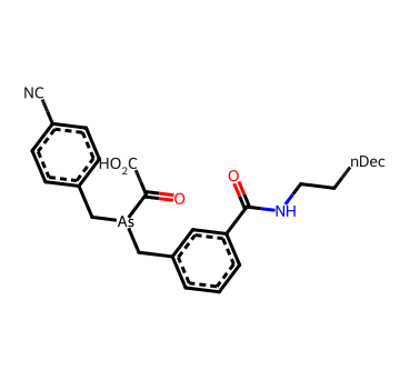 CCCCCCCCCCCCNC(=O)c1cccc(C[As](Cc2ccc(C#N)cc2)C(=O)C(=O)O)c1